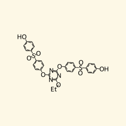 CCOc1nc(Oc2ccc(S(=O)(=O)c3ccc(O)cc3)cc2)nc(Oc2ccc(S(=O)(=O)c3ccc(O)cc3)cc2)n1